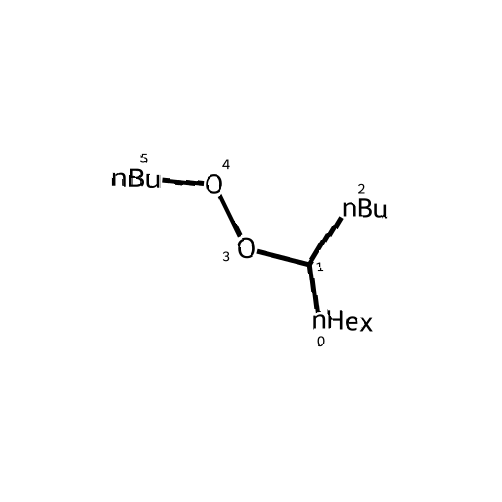 CCCCCCC(CCCC)OOCCCC